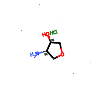 Cl.N[C@H]1COC[C@@H]1O